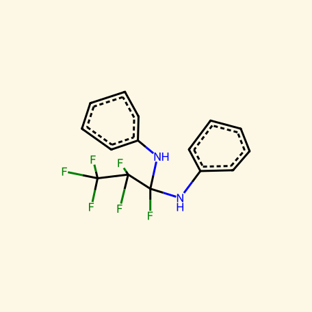 FC(F)(F)C(F)(F)C(F)(Nc1ccccc1)Nc1ccccc1